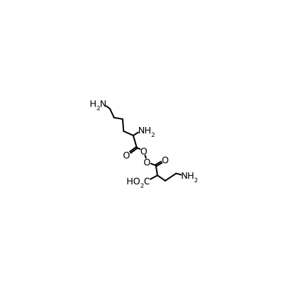 NCCCCC(N)C(=O)OOC(=O)C(CCN)C(=O)O